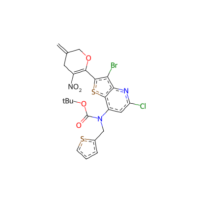 C=C1COC(c2sc3c(N(Cc4cccs4)C(=O)OC(C)(C)C)cc(Cl)nc3c2Br)=C([N+](=O)[O-])C1